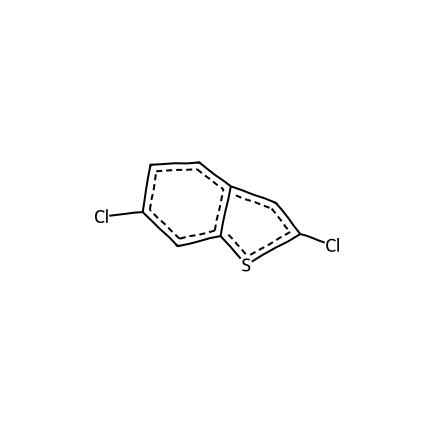 Clc1ccc2cc(Cl)sc2c1